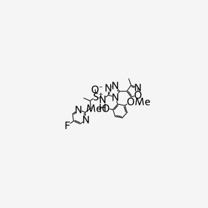 COc1cccc(OC)c1-n1c(N[S+]([O-])C(C)Cc2ncc(F)cn2)nnc1-c1conc1C